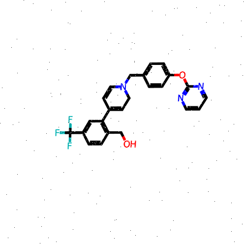 OCc1ccc(C(F)(F)F)cc1C1=CCN(Cc2ccc(Oc3ncccn3)cc2)C=C1